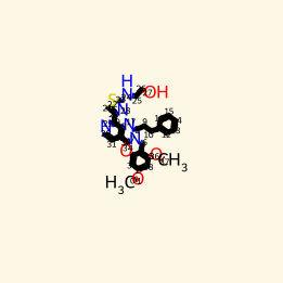 COc1ccc(Cn2c(CCc3ccccc3)nc3c(-c4csc(NCCO)n4)nccc3c2=O)c(OC)c1